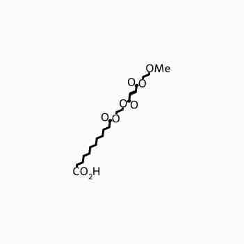 COCCOC(=O)/C=C/C(=O)OCCOC(=O)CCCCCCCCCCC(=O)O